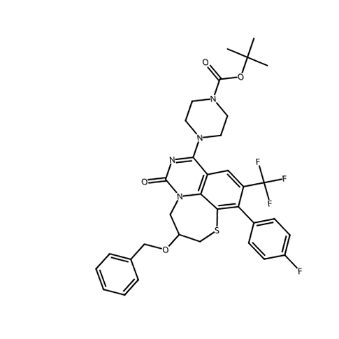 CC(C)(C)OC(=O)N1CCN(c2nc(=O)n3c4c(c(-c5ccc(F)cc5)c(C(F)(F)F)cc24)SCC(OCc2ccccc2)C3)CC1